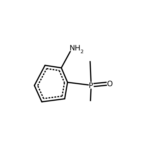 CP(C)(=O)c1ccccc1N